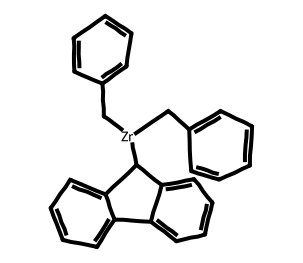 c1ccc([CH2][Zr]([CH2]c2ccccc2)[CH]2c3ccccc3-c3ccccc32)cc1